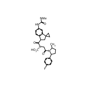 CNC(=O)Nc1ccc2c(c1)C1(CC1)CC2C(=O)N(CC(=O)N1C(C)CCC1c1ccc(F)cc1)C(=O)O